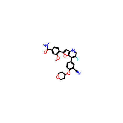 COc1cc(C(=O)N(C)C)ccc1-c1cc2ncc(F)c(-c3ccc(OC4CCOCC4)c(C#N)c3)c2o1